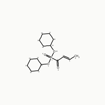 CC=CC(=O)P(=O)(OC1CCCCC1)OC1CCCCC1